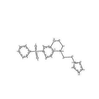 O=S(=O)(c1ccccc1)c1ccc2c(c1)OCCN2CCn1ccnc1